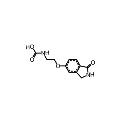 O=C(O)NCCOc1ccc2c(c1)CNC2=O